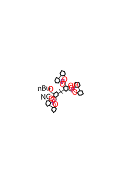 CCCCOCc1cc(C(C)(C)c2cc(CP3(=O)Oc4ccccc4-c4ccccc43)c(O)c(CP3(=O)Oc4ccccc4-c4ccccc43)c2)cc(CP2(=O)Oc3ccccc3-c3ccccc32)c1OC#N